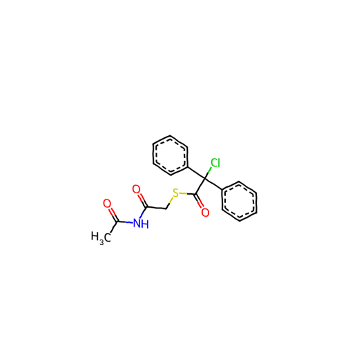 CC(=O)NC(=O)CSC(=O)C(Cl)(c1ccccc1)c1ccccc1